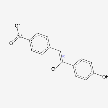 O=[N+]([O-])c1ccc(/C=C(\Cl)c2ccc(O)cc2)cc1